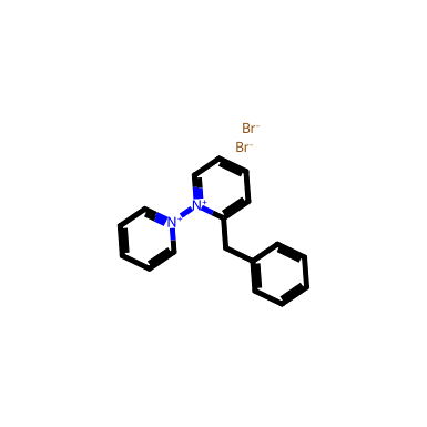 [Br-].[Br-].c1ccc(Cc2cccc[n+]2-[n+]2ccccc2)cc1